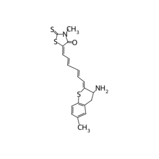 Cc1ccc2c(c1)CC(N)/C(=C/C=C/C=C/C=C1/SC(=S)N(C)C1=O)S2